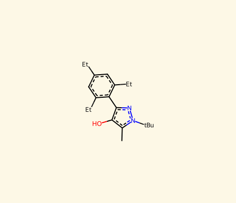 CCc1cc(CC)c(-c2nn(C(C)(C)C)c(C)c2O)c(CC)c1